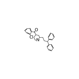 O=C(c1ccccc1Cl)C1CC[N]C(CCC(c2ccccc2)c2ccccc2)C1